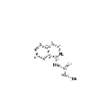 CC(C)(C)NC(=O)Nc1nccc2ccccc12